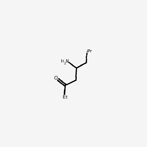 CCC(=O)CC(N)CC(C)C